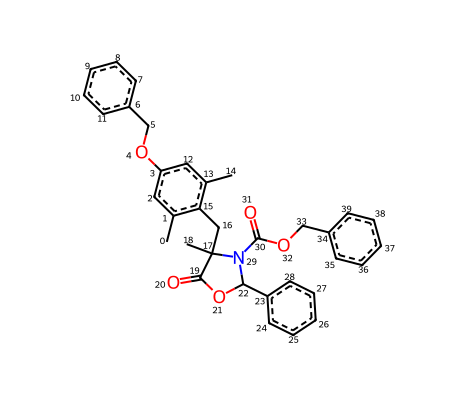 Cc1cc(OCc2ccccc2)cc(C)c1CC1(C)C(=O)OC(c2ccccc2)N1C(=O)OCc1ccccc1